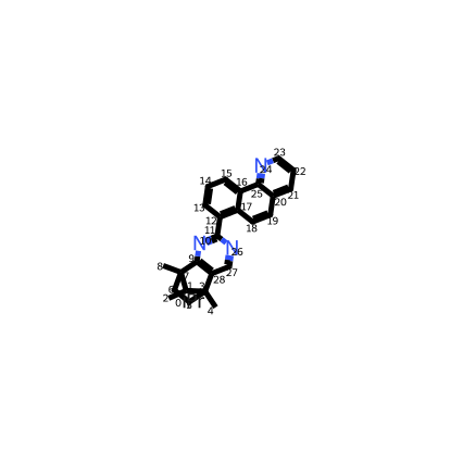 CC(C)C1(C)C2(C)CCC1(C)c1nc(-c3cccc4c3ccc3cccnc34)ncc12